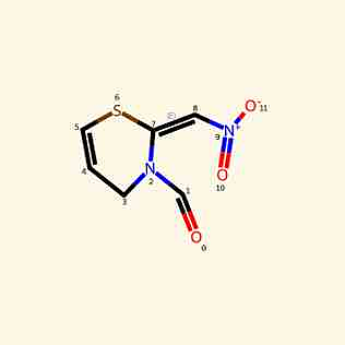 O=CN1CC=CS/C1=C/[N+](=O)[O-]